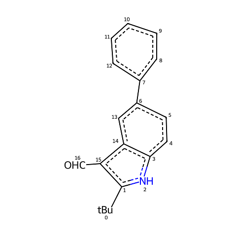 CC(C)(C)c1[nH]c2ccc(-c3ccccc3)cc2c1C=O